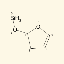 [SiH3]OC1CC=CO1